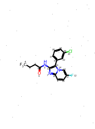 O=C(CCC(F)(F)F)Nc1nc2ccc(F)cn2c1-c1cccc(Cl)c1